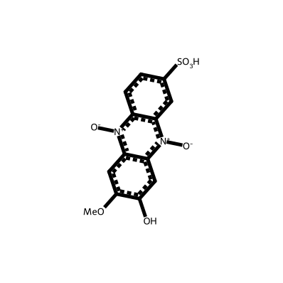 COc1cc2c(cc1O)[n+]([O-])c1cc(S(=O)(=O)O)ccc1[n+]2[O-]